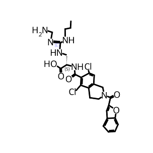 CCCN/C(=N\CN)NC[C@H](NC(=O)c1c(Cl)cc2c(c1Cl)CCN(C(=O)c1cc3ccccc3o1)C2)C(=O)O